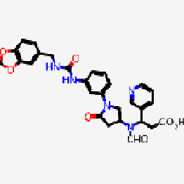 O=CN(C1CC(=O)N(c2cccc(NC(=O)NCc3ccc4c(c3)OCO4)c2)C1)C(CC(=O)O)c1cccnc1